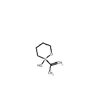 C=C(C)[Si]1(O)CCCCO1